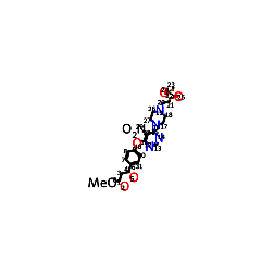 COC(=O)CC(=O)c1ccc(Oc2ncnc(N3CCN(CCS(C)(=O)=O)CC3)c2[N+](=O)[O-])cc1